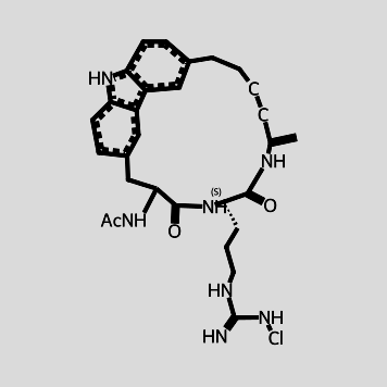 C=C1CCCCc2ccc3[nH]c4ccc(cc4c3c2)CC(NC(C)=O)C(=O)N[C@@H](CCCNC(=N)NCl)C(=O)N1